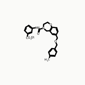 CCOC(=O)c1cccc(NC(=O)N2CCOc3ccc(COCc4ccc(C)cc4)cc3C2)c1